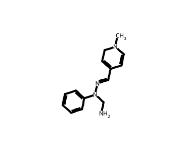 CN1C=CC(C=NN(CN)c2ccccc2)=CC1